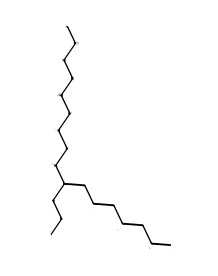 [CH2]CCCCCCCCC(CCC)CCCCCCC